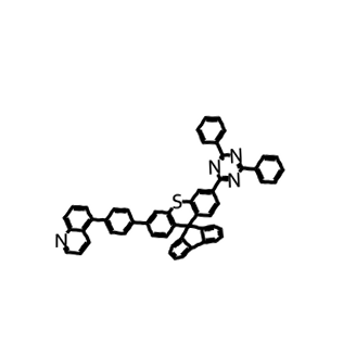 c1ccc(-c2nc(-c3ccccc3)nc(-c3ccc4c(c3)Sc3cc(-c5ccc(-c6cccc7ncccc67)cc5)ccc3C43c4ccccc4-c4ccccc43)n2)cc1